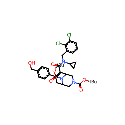 CC(C)(C)OC(=O)N1CC2CC(c3ccc(CO)cc3)=C(C(=O)N(Cc3cccc(Cl)c3Cl)C3CC3)C(C1)N2C(=O)OC(C)(C)C